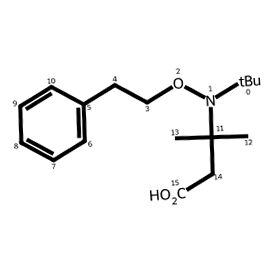 CC(C)(C)N(OCCc1ccccc1)C(C)(C)CC(=O)O